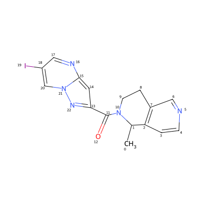 CC1c2ccncc2CCN1C(=O)c1cc2ncc(I)cn2n1